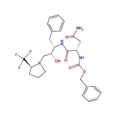 NC(=O)C[C@H](NC(=O)OCc1ccccc1)C(=O)N[C@@H](Cc1ccccc1)[C@H](O)CN1CCC[C@H]1C(F)(F)F